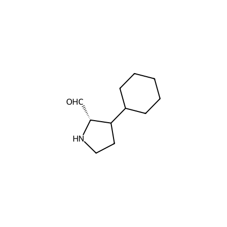 O=C[C@H]1NCCC1C1CCCCC1